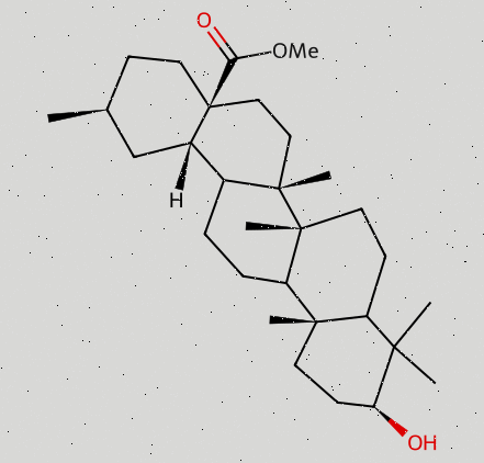 COC(=O)[C@]12CC[C@H](C)C[C@H]1C1CCC3[C@@]4(C)CC[C@H](O)C(C)(C)C4CC[C@@]3(C)[C@@]1(C)CC2